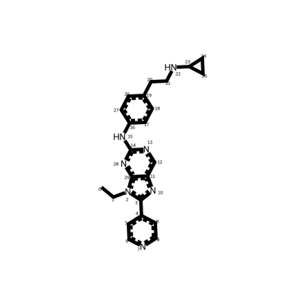 CCn1c(-c2ccncc2)nc2cnc(Nc3ccc(CCNC4CC4)cc3)nc21